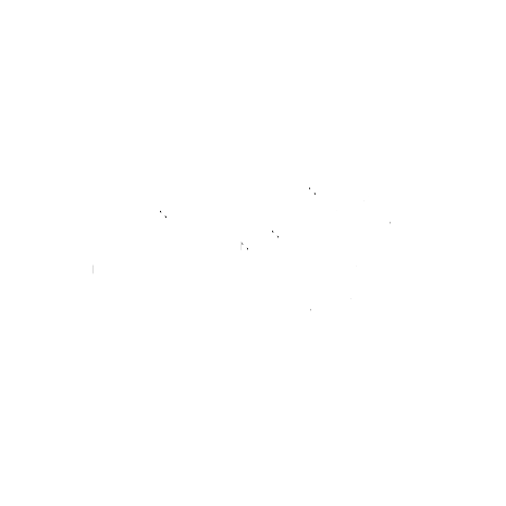 O=c1ncn2nc(Oc3cncc(F)c3)ccc2c1-c1c(Cl)cccc1Cl